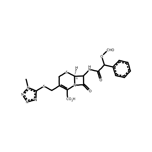 Cn1nnnc1SCC1=C(C(=O)O)N2C(=O)C(NC(=O)C(OC=O)c3ccccc3)[C@@H]2SC1